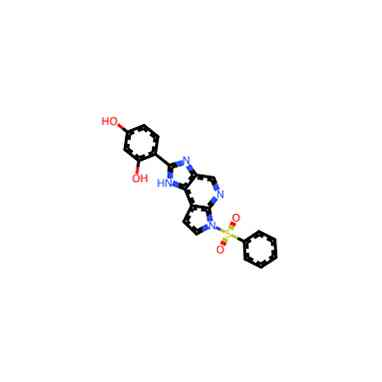 O=S(=O)(c1ccccc1)n1ccc2c3[nH]c(-c4ccc(O)cc4O)nc3cnc21